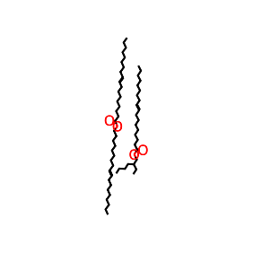 CCCCCCCCC=CCCCCCCCC(=O)OCC(CC)CCCC.CCCCCCCCC=CCCCCCCCCOC(=O)CCCCCCCC=CCCCCCCCC